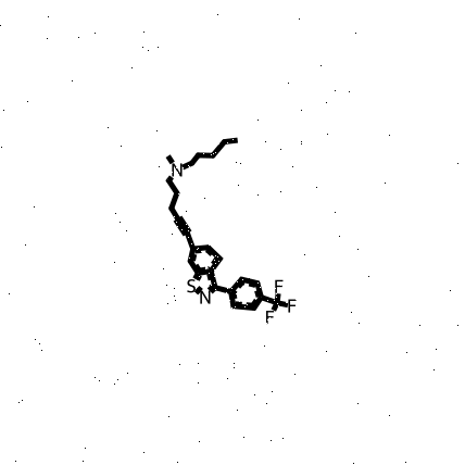 CCCCCN(C)CCCC#Cc1ccc2c(-c3ccc(C(F)(F)F)cc3)nsc2c1